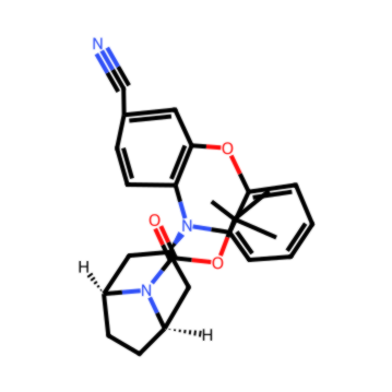 CC(C)(C)OC(=O)N1[C@@H]2CC[C@H]1C[C@@H](N1c3ccccc3Oc3cc(C#N)ccc31)C2